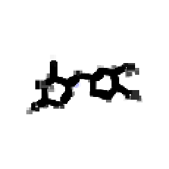 Cc1ccc(/N=C2\C=NC(=O)NC2=O)cc1C